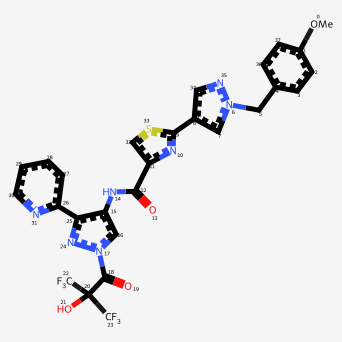 COc1ccc(Cn2cc(-c3nc(C(=O)Nc4cn(C(=O)C(O)(C(F)(F)F)C(F)(F)F)nc4-c4ccccn4)cs3)cn2)cc1